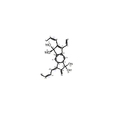 C=CC1=C(/C=C\C)C(O)(O)c2cc3c(cc21)C(O)(O)C(=C)/C3=C\C=C/C